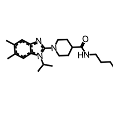 CCCCNC(=O)C1CCN(c2nc3cc(C)c(C)cc3n2C(C)C)CC1